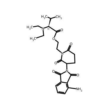 CCN(CC)[C@H](C(=O)OCCN1C(=O)CCC(N2C(=O)c3cccc(N)c3C2=O)C1=O)C(C)C